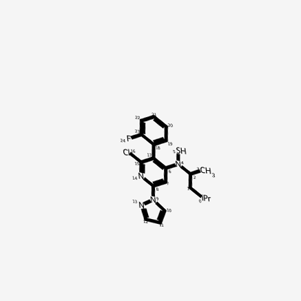 CC(C)CC(C)N(S)c1cc(-n2cccn2)nc(Cl)c1-c1ccccc1F